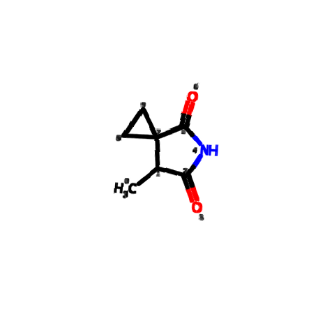 CC1C(=O)NC(=O)C12CC2